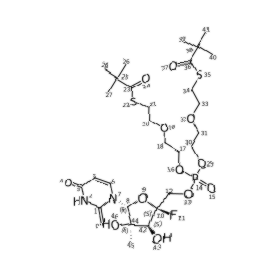 C=C1NC(=O)C=CN1[C@@H]1O[C@](F)(COP(=O)(OCCOCCSC(=O)C(C)(C)C)OCCOCCSC(=O)C(C)(C)C)[C@@H](O)[C@@]1(C)O